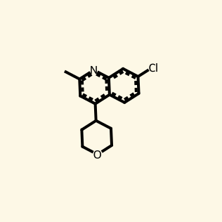 Cc1cc(C2CCOCC2)c2ccc(Cl)cc2n1